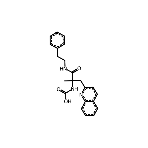 CC(Cc1ccc2ccccc2n1)(NC(=O)O)C(=O)NCCc1ccccc1